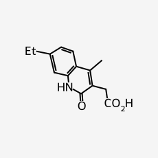 CCc1ccc2c(C)c(CC(=O)O)c(=O)[nH]c2c1